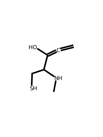 C=C=C(O)C(CS)NC